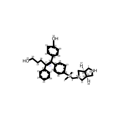 C[Si](C)(CN1C[C@H]2CNC[C@H]2C1)c1ccc(/C(=C(/CCCO)c2ccccc2)c2ccc(O)cc2)cc1